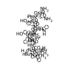 CCCC[C@H](C)C(=O)N(C)[C@@H](Cc1ccccc1)C(=O)N(C)[C@@H](CCCC)C(=O)N(C)CC(=O)N[C@@H](CC(=O)O)C(=O)N[C@H](C(=O)N(C)[C@@H](Cc1ccccc1)C(=O)N[C@@H](Cc1ccc(O)cc1)C(=O)N(C)CC(=O)N[C@@H](Cc1c[nH]c2ccccc12)C(=O)N[C@@H](Cc1ccc(O)cc1)C(=O)N[C@@H](CC(C)C)C(=O)N[C@@H](CSCC(N)=O)C(=O)NCC(N)=O)C(C)C